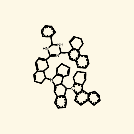 C1=CC2=C(CC1)N(C1CC=CC3=CC=C(C4=NC(c5cc6ccccc6c6c5C=CCC6)NC(c5ccccc5)N4)CC31)C1=Cc3ccccc3C(n3c4c(c5c6ccccc6ccc53)C=CCC4)C12